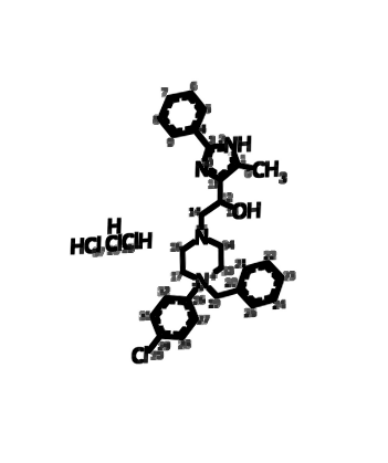 Cc1[nH]c(-c2ccccc2)nc1C(O)CN1CC[N+](Cc2ccccc2)(c2ccc(Cl)cc2)CC1.Cl.Cl.Cl